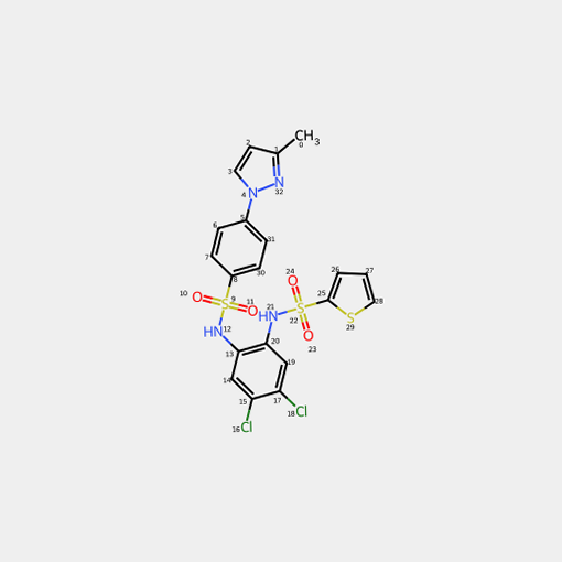 Cc1ccn(-c2ccc(S(=O)(=O)Nc3cc(Cl)c(Cl)cc3NS(=O)(=O)c3cccs3)cc2)n1